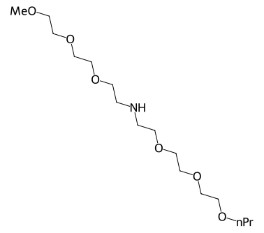 CCCOCCOCCOCCNCCOCCOCCOC